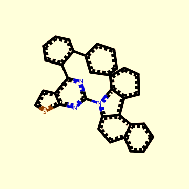 c1ccc(-c2ccccc2-c2nc(-n3c4ccccc4c4c5ccccc5ccc43)nc3sccc23)cc1